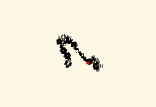 CN1CCN(Cc2ccc(-c3ccc(CO[C@H]4CCC[C@@H]4NC(=O)c4cc(-c5cnn(CCOCCOCCCc6ccc7c(c6)n(C)c(=O)n7C6CCC(=O)NC6=O)c5)cnc4N)cc3)cc2)CC1